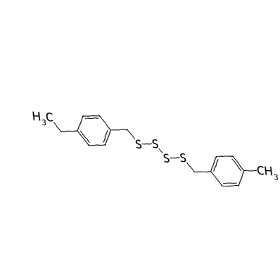 CCc1ccc(CSSSSCc2ccc(C)cc2)cc1